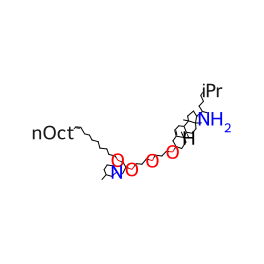 CCCCCCCC/C=C\CCCCCCCCOCC(CN1CCCC(C)C1)OCCCOCCCOC1CCC2(C)C(=CCC3[C@@H]2CCC2(C)C3(C)CC[C@@]2(N)C(C)CCCC(C)C)C1